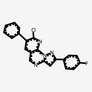 Fc1ccc(-c2cc3ncc4cc(-c5ccccc5)c(Cl)nc4n3n2)cc1